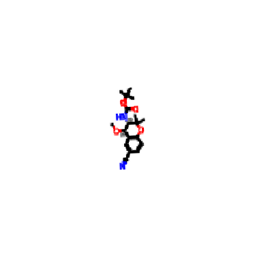 CO[C@@H]1c2cc(C#N)ccc2OC(C)(C)[C@H]1NC(=O)OC(C)(C)C